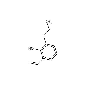 CCSc1cccc(C=O)c1O